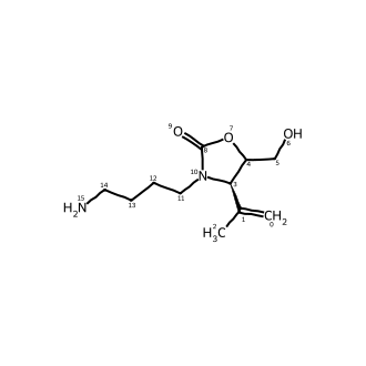 C=C(C)[C@@H]1C(CO)OC(=O)N1CCCCN